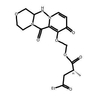 CCC(=O)C[C@@H](C)C(=O)OCOc1c2n(ccc1=O)NC1COCCN1C2=O